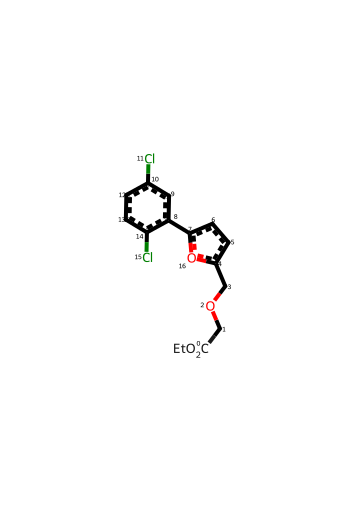 CCOC(=O)COCc1ccc(-c2cc(Cl)ccc2Cl)o1